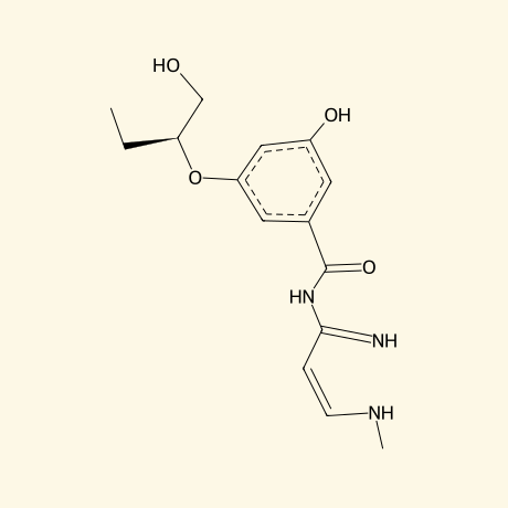 CC[C@@H](CO)Oc1cc(O)cc(C(=O)NC(=N)/C=C\NC)c1